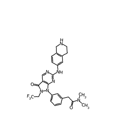 CN(C)C(=O)Cc1cccc(-n2c3nc(Nc4ccc5c(c4)CCNC5)ncc3c(=O)n2CC(F)(F)F)c1